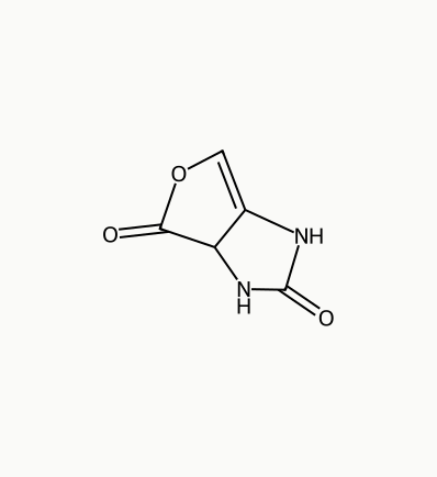 O=C1NC2=COC(=O)C2N1